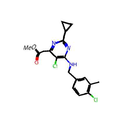 COC(=O)c1nc(C2CC2)nc(NCc2ccc(Cl)c(C)c2)c1Cl